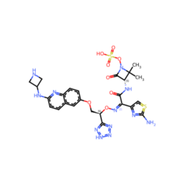 CC1(C)[C@H](NC(=O)/C(=N\O[C@H](COc2ccc3nc(NC4CNC4)ccc3c2)c2nn[nH]n2)c2csc(N)n2)C(=O)N1OS(=O)(=O)O